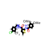 COc1ccc(C(=O)Nc2sc(C)cc2C(=O)N/N=C\c2ccc(Cl)c(C(F)(F)F)c2)cc1OC